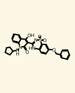 O=c1c(C2=NS(=O)(=O)c3cc(OCc4ccccc4)ccc3N2)c(O)c2ccccc2n1NC1CCCC1